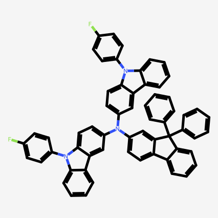 Fc1ccc(-n2c3ccccc3c3cc(N(c4ccc5c(c4)C(c4ccccc4)(c4ccccc4)c4ccccc4-5)c4ccc5c(c4)c4ccccc4n5-c4ccc(F)cc4)ccc32)cc1